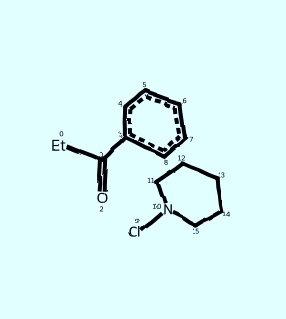 CCC(=O)c1ccccc1.ClN1CCCCC1